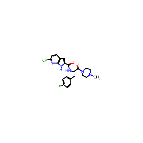 CN1CCN(C(=O)[C@H](Cc2ccc(F)cc2)NC(=O)c2cc3ccc(Cl)nc3[nH]2)CC1